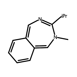 CC(C)C1=NC=c2ccccc2=CN1C